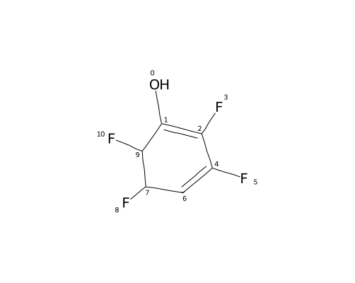 OC1=C(F)C(F)=CC(F)C1F